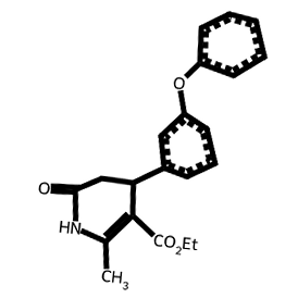 CCOC(=O)C1=C(C)NC(=O)CC1c1cccc(Oc2ccccc2)c1